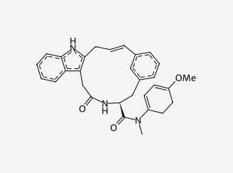 COC1=CC=C(N(C)C(=O)[C@@H]2Cc3cccc(c3)/C=C/Cc3[nH]c4ccccc4c3CC(=O)N2)CC1